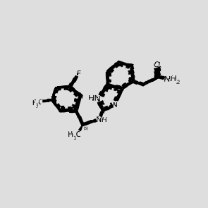 C[C@H](Nc1nc2c(CC(N)=O)cccc2[nH]1)c1cc(F)cc(C(F)(F)F)c1